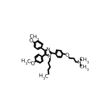 CCCCCCn1c(-c2ccc(OCCCN(C)C)cc2)nc(-c2ccc(OC)cc2)c1-c1ccc(OC)cc1